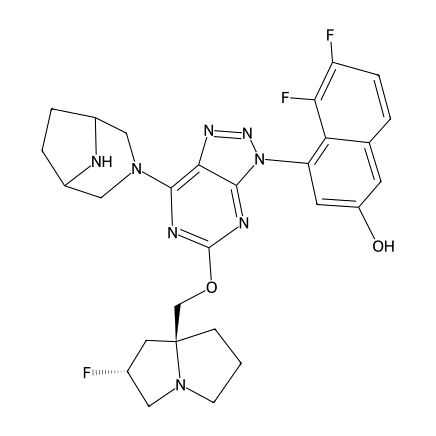 Oc1cc(-n2nnc3c(N4CC5CCC(C4)N5)nc(OC[C@@]45CCCN4C[C@H](F)C5)nc32)c2c(F)c(F)ccc2c1